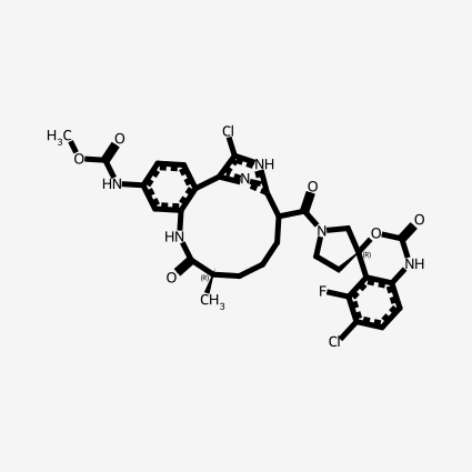 COC(=O)Nc1ccc2c(c1)NC(=O)[C@H](C)CCCC(C(=O)N1CC[C@@]3(C1)OC(=O)Nc1ccc(Cl)c(F)c13)c1nc-2c(Cl)[nH]1